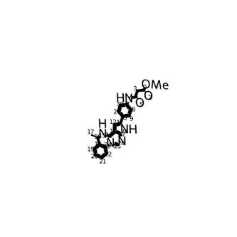 COC(=O)CC(=O)Nc1ccc(-c2cc3c(N[C@H](C)c4ccccc4)ncnc3[nH]2)cc1